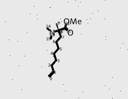 C=CCCCCCC[C@@](C)(C(=O)OC)N(C)C